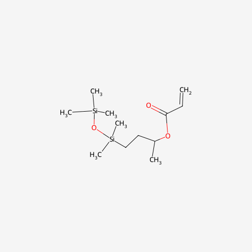 C=CC(=O)OC(C)CC[Si](C)(C)O[Si](C)(C)C